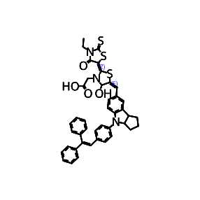 CCN1C(=O)/C(=C2/S/C(=C/c3ccc4c(c3)C3CCCC3N4c3ccc(C=C(c4ccccc4)c4ccccc4)cc3)C(O)N2CC(=O)O)SC1=S